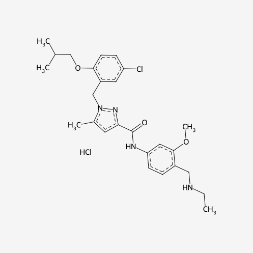 CCNCc1ccc(NC(=O)c2cc(C)n(Cc3cc(Cl)ccc3OCC(C)C)n2)cc1OC.Cl